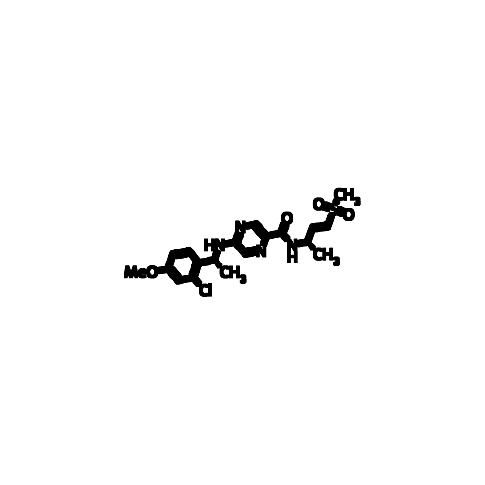 COc1ccc([C@H](C)Nc2cnc(C(=O)N[C@H](C)/C=C/S(C)(=O)=O)cn2)c(Cl)c1